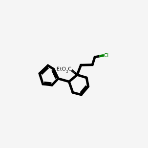 CCOC(=O)C1(CCCCl)CC=CCC1c1ccccc1